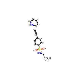 O=C(O)CNS(=O)(=O)c1ccc(C#Cc2ccccn2)cc1